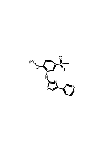 CC(C)Oc1ccc(S(C)(=O)=O)cc1Nc1nc(-c2cccnc2)cs1